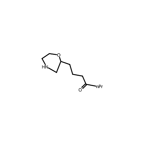 CCCC(=O)CCCC1CNCCO1